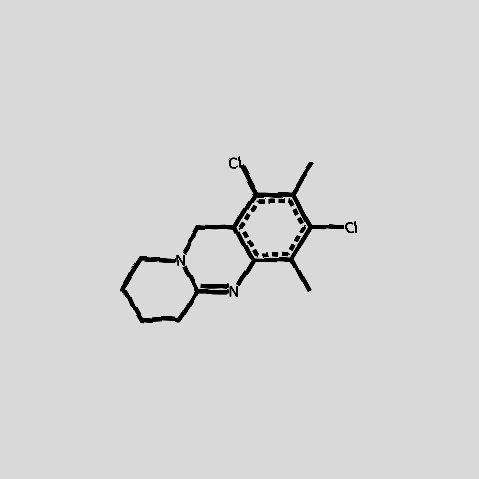 Cc1c(Cl)c(C)c2c(c1Cl)CN1CCCCC1=N2